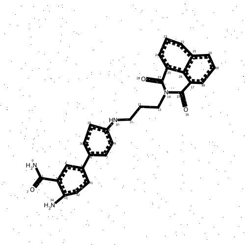 NC(=O)c1cc(-c2ccc(NCCCN3C(=O)c4cccc5cccc(c45)C3=O)cc2)ccc1N